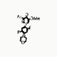 COc1cn(-c2cc(F)c(N3CCOCC3)cc2F)nc(C(C)=O)c1=O